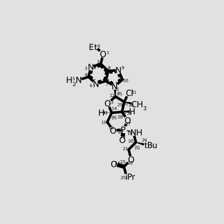 CCOc1nc(N)nc2c1ncn2[C@@H]1O[C@@H]2CO[P@@](=O)(N[C@H](COC(=O)C(C)C)C(C)(C)C)O[C@H]2[C@@]1(C)Cl